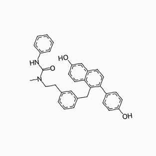 CN(CCc1cccc(Cc2c(-c3ccc(O)cc3)ccc3cc(O)ccc23)c1)C(=O)Nc1ccccc1